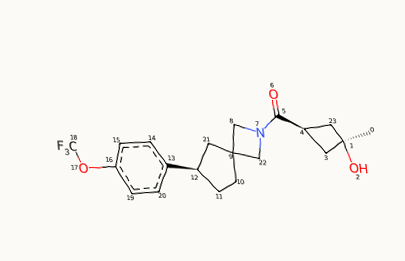 C[C@]1(O)C[C@@H](C(=O)N2CC3(CC[C@@H](c4ccc(OC(F)(F)F)cc4)C3)C2)C1